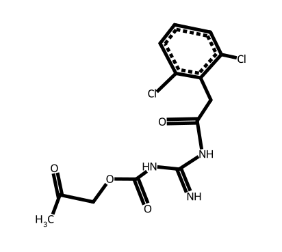 CC(=O)COC(=O)NC(=N)NC(=O)Cc1c(Cl)cccc1Cl